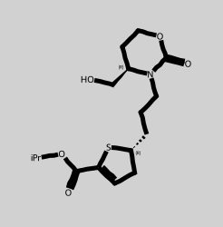 CC(C)OC(=O)C1=CC[C@@H](CCCN2C(=O)OCC[C@@H]2CO)S1